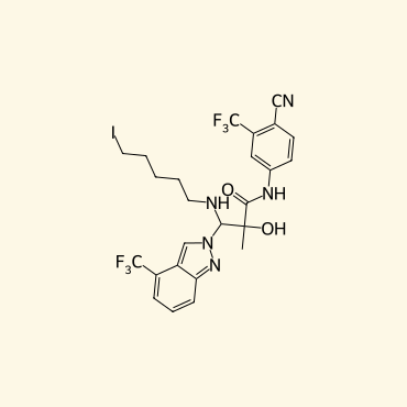 CC(O)(C(=O)Nc1ccc(C#N)c(C(F)(F)F)c1)C(NCCCCCI)n1cc2c(C(F)(F)F)cccc2n1